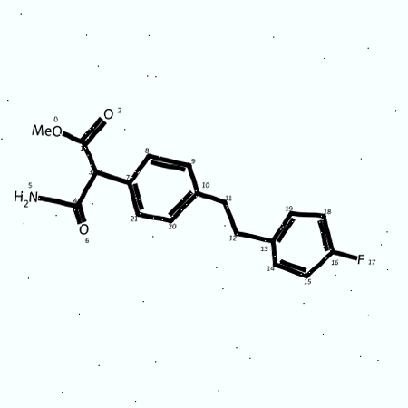 COC(=O)C(C(N)=O)c1ccc(CCc2ccc(F)cc2)cc1